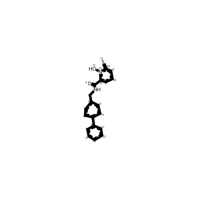 O=C(NCc1ccc(-c2ccccc2)cc1)c1cccc(=S)n1O